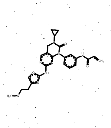 C=CC(=O)Nc1cccc(N2C(=O)N(C3CC3)Cc3cnc(Nc4nc(CCSC)co4)nc32)c1